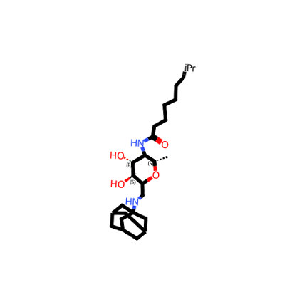 CC(C)CCCCCCC(=O)NC1[C@H](C)OC(CNC23CC4CC(CC(C4)C2)C3)[C@@H](O)[C@@H]1O